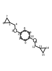 c1cc(OCC2CC2)ccc1OCC1CC1